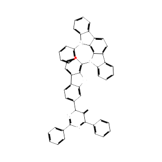 C=C1C(c2ccccc2)=NC(c2ccccc2)=NC1c1ccc2c(c1)oc1c(-n3c4ccccc4c4ccc5c6ccccc6n(-c6ccccc6)c5c43)cccc12